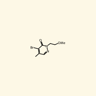 COCCn1ncc(C)c(Br)c1=O